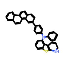 C1=Cc2c(sc3cccc(N(c4ccccc4)c4ccc(-c5ccc6ccc7c8ccccc8ccc7c6c5)cc4)c23)NC1